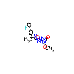 COCCN1CC(=O)N/C1=N\c1cc(C(C)c2ccc(-c3ccccc3F)cc2)no1